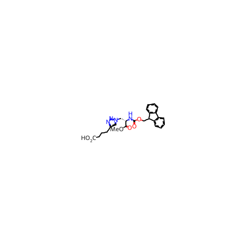 COC(=O)[C@H](Cn1cc(CCCC(=O)O)nn1)NC(=O)OCC1c2ccccc2-c2ccccc21